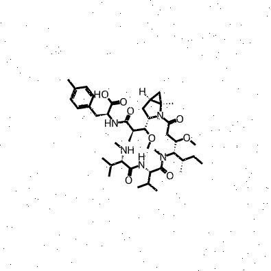 CC[C@H](C)[C@@H](C(CC(=O)N1[C@H](C(OC)[C@@H](C)C(=O)N[C@@H](Cc2ccc(C)cc2)C(=O)O)C[C@H]2C[C@]21C)OC)N(C)C(=O)[C@@H](NC(=O)[C@@H](NC)C(C)C)C(C)C